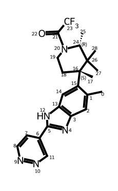 Cc1cc2nc(-c3ccnnc3)[nH]c2cc1[C@]1(C)CCN(C(=O)C(F)(F)F)[C@H](C)C1(C)C